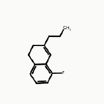 CCCC1=Cc2c(F)cccc2CC1